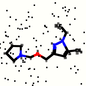 CCn1nc(COCN2CCCC2)cc1C